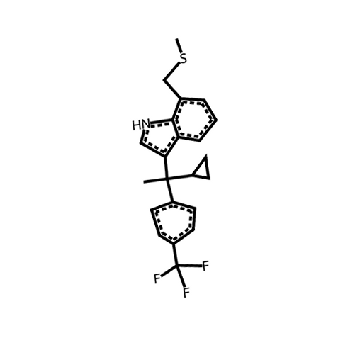 CSCc1cccc2c(C(C)(c3ccc(C(F)(F)F)cc3)C3CC3)c[nH]c12